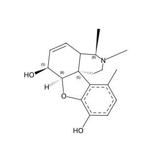 Cc1ccc(O)c2c1[C@]13CCN(C)[C@H](C)C1C=C[C@H](O)[C@@H]3O2